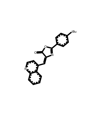 CC(C)(C)c1ccc(C2=NC(=Cc3ccnc4ccccc34)C(=O)O2)cc1